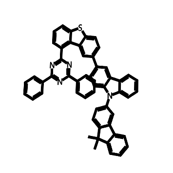 CC1(C)c2ccccc2-c2cc(-n3c4ccccc4c4cc(-c5ccc6sc7cccc(-c8nc(-c9ccccc9)nc(-c9ccccc9)n8)c7c6c5)ccc43)ccc21